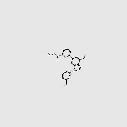 CCCC(N)c1cccc(-c2cc(CF)c3cnn(-c4cccc(CO)n4)c3c2)n1